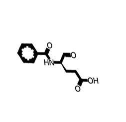 O=C[C@@H](CCC(=O)O)NC(=O)c1ccccc1